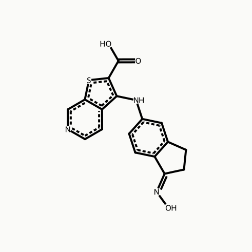 O=C(O)c1sc2cnccc2c1Nc1ccc2c(c1)CCC2=NO